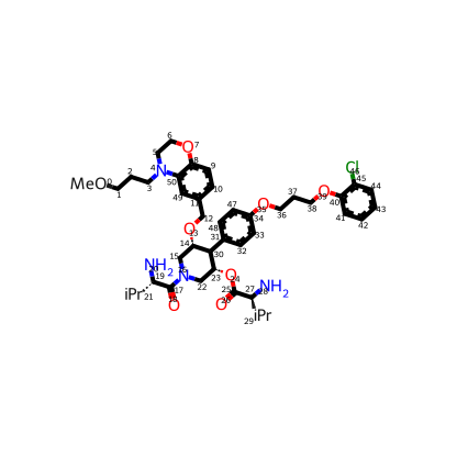 COCCCN1CCOc2ccc(CO[C@H]3CN(C(=O)[C@@H](N)C(C)C)C[C@@H](OC(=O)[C@@H](N)C(C)C)C3c3ccc(OCCCOc4ccccc4Cl)cc3)cc21